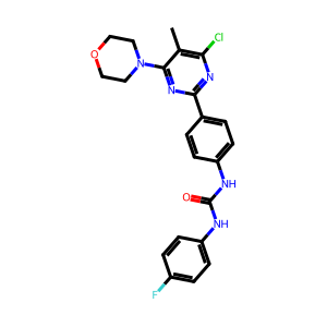 Cc1c(Cl)nc(-c2ccc(NC(=O)Nc3ccc(F)cc3)cc2)nc1N1CCOCC1